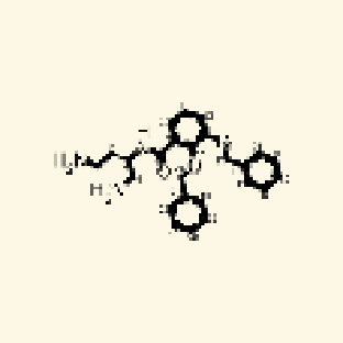 NCC[C@H](CN)NC(=O)c1cccc(OCc2ccccc2)c1OCc1ccccc1